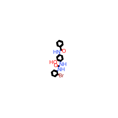 O=C(Nc1ccc(NC(=O)c2ccccc2)cc1O)Nc1ccccc1Br